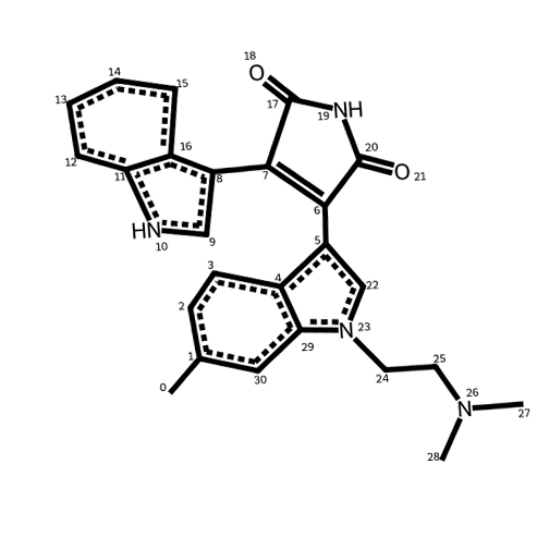 Cc1ccc2c(C3=C(c4c[nH]c5ccccc45)C(=O)NC3=O)cn(CCN(C)C)c2c1